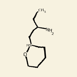 CCC(N)C[SiH]1CCCCO1